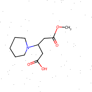 COC(=O)CC(CC(=O)O)N1CCCCC1